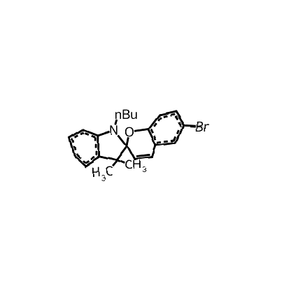 CCCCN1c2ccccc2C(C)(C)C12C=Cc1cc(Br)ccc1O2